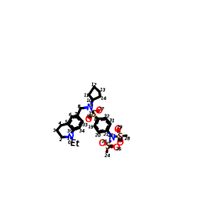 CCN1CCCc2cc(CN(C3CCCC3)S(=O)(=O)c3ccc(N(S(C)(=O)=O)S(C)(=O)=O)cc3)ccc21